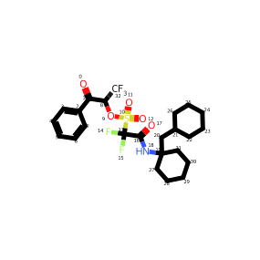 O=C(c1ccccc1)C(OS(=O)(=O)C(F)(F)C(=O)NC1(CC2CCCCC2)CCCCC1)C(F)(F)F